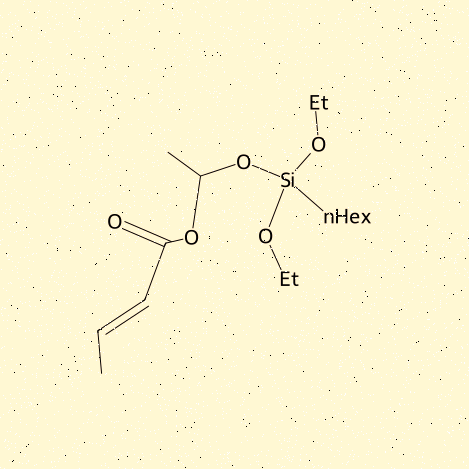 CC=CC(=O)OC(C)O[Si](CCCCCC)(OCC)OCC